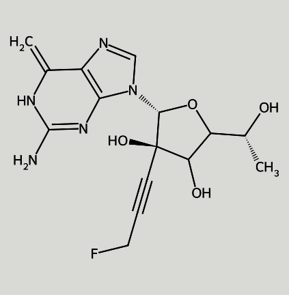 C=C1NC(N)=Nc2c1ncn2[C@@H]1OC([C@@H](C)O)C(O)[C@]1(O)C#CCF